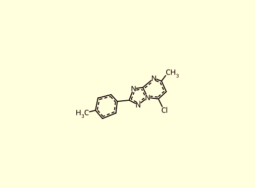 Cc1ccc(-c2nc3nc(C)cc(Cl)n3n2)cc1